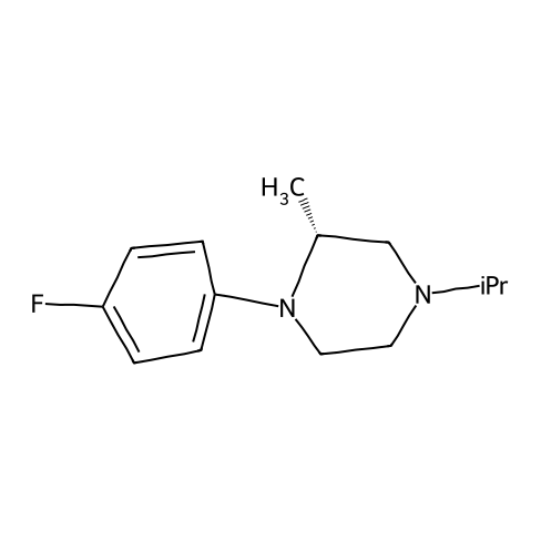 CC(C)N1CCN(c2ccc(F)cc2)[C@H](C)C1